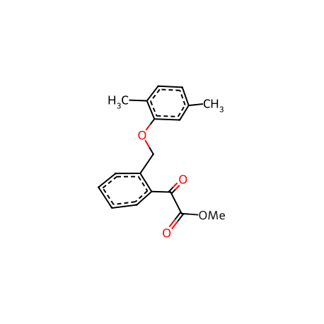 COC(=O)C(=O)c1ccccc1COc1cc(C)ccc1C